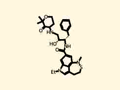 CCn1cc2c3c(cc(C(=O)N[C@@H](Cc4ccccc4)[C@H](O)CNC4CCOC(C)(C)C4=O)cc31)N(C)SCC2